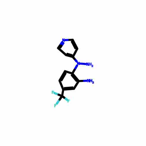 Nc1cc(C(F)(F)F)ccc1N(N)c1ccncc1